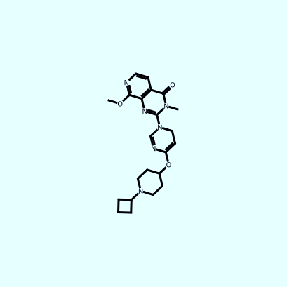 COc1nccc2c(=O)n(C)c(N3C=NC(OC4CCN(C5CCC5)CC4)=CC3)nc12